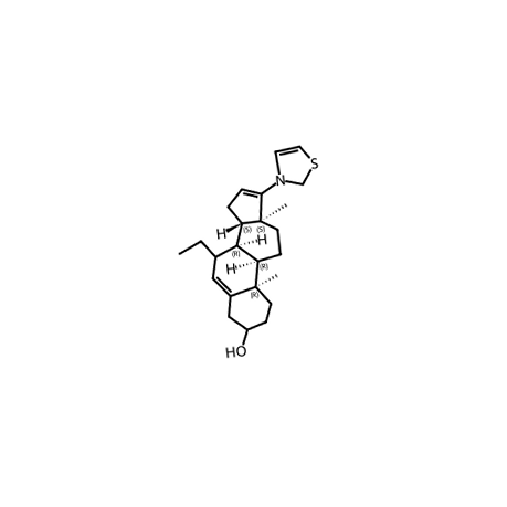 CCC1C=C2CC(O)CC[C@]2(C)[C@@H]2CC[C@]3(C)C(N4C=CSC4)=CC[C@H]3[C@H]12